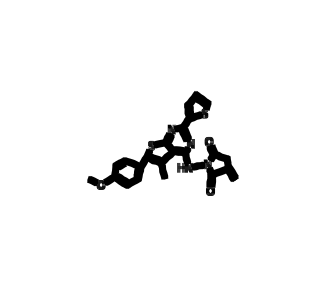 C=C1CC(=O)N(Nc2nc(-c3cccs3)nc3sc(-c4ccc(OC)cc4)c(C)c23)C1=O